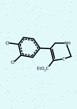 CCOC(=O)C1=C(c2ccc(Cl)c(Cl)c2)CNCC1